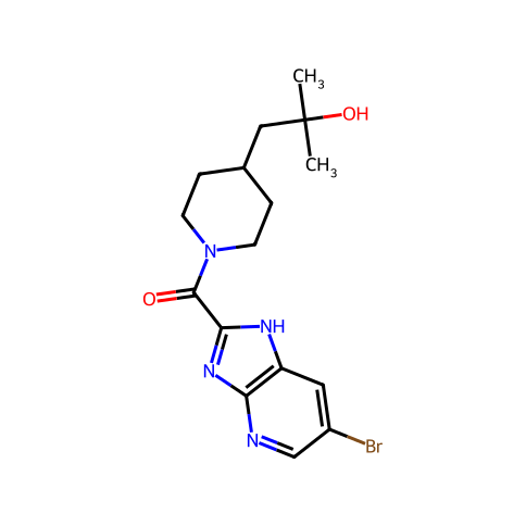 CC(C)(O)CC1CCN(C(=O)c2nc3ncc(Br)cc3[nH]2)CC1